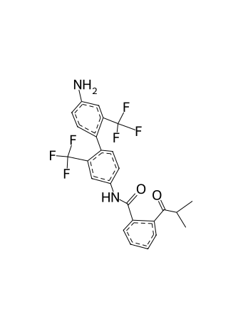 CC(C)C(=O)c1ccccc1C(=O)Nc1ccc(-c2ccc(N)cc2C(F)(F)F)c(C(F)(F)F)c1